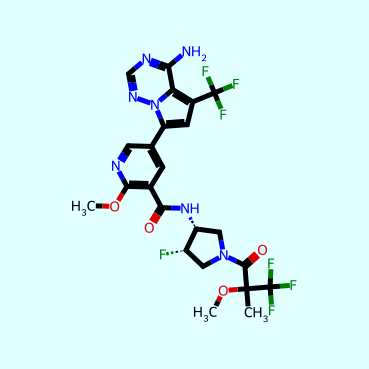 COc1ncc(-c2cc(C(F)(F)F)c3c(N)ncnn23)cc1C(=O)N[C@@H]1CN(C(=O)C(C)(OC)C(F)(F)F)C[C@@H]1F